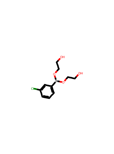 OCCOB(OCCO)c1cccc(Cl)c1